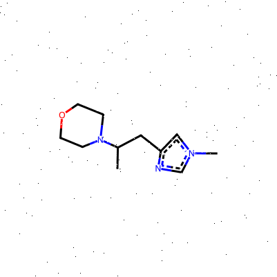 [CH2]C(Cc1cn(C)cn1)N1CCOCC1